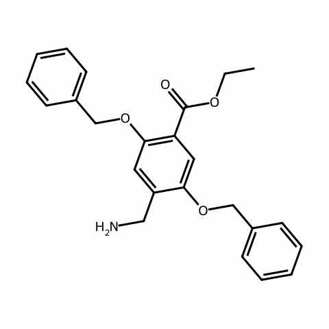 CCOC(=O)c1cc(OCc2ccccc2)c(CN)cc1OCc1ccccc1